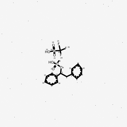 CP(=O)(O)OC(Cc1ccccc1)c1ccccc1.O=S(=O)(O)C(F)(F)F